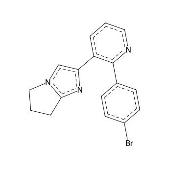 Brc1ccc(-c2ncccc2-c2cn3c(n2)CCC3)cc1